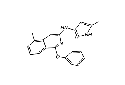 Cc1cc(Nc2cc3c(C)cccc3c(Oc3ccccc3)n2)n[nH]1